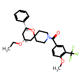 CCO[C@@H]1C[C@H](c2ccccc2)OC2(CCN(C(=O)c3ccc(OC)c(C(F)(F)F)c3)CC2)C1